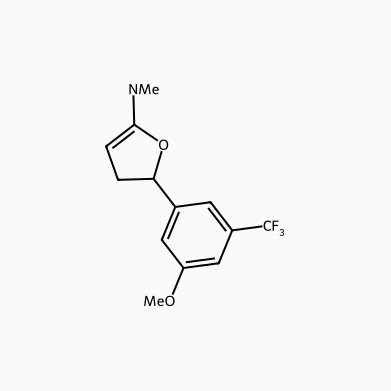 CNC1=CCC(c2cc(OC)cc(C(F)(F)F)c2)O1